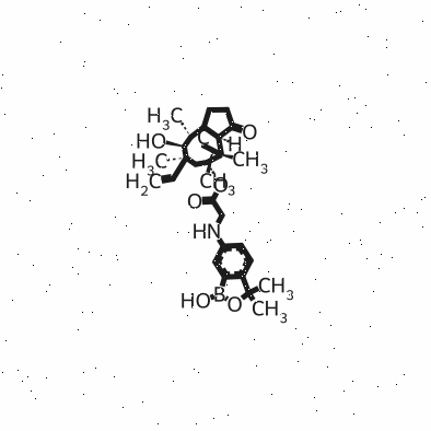 C=C[C@]1(C)C[C@@H](OC(=O)CNc2ccc3c(c2)B(O)OC3(C)C)[C@]2(C)[C@H](C)CC[C@]3(CCC(=O)[C@H]32)[C@@H](C)[C@@H]1O